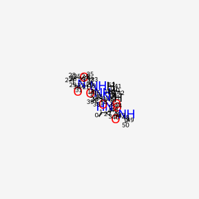 C=CC1CC1(NC(=O)[C@@H]1[C@@H]2[C@H](CN1C(=O)[C@@H](NC(=O)N[C@H](CN1C(=O)CC(C)(C)CC1=O)C(C)(C)C)C(C)(C)C)C2(C)C)C(=O)C(=O)NC1CC1